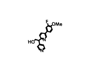 COc1ccc(-c2ccc(C(CO)c3ccncc3)nc2)cc1F